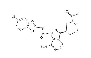 C=CC(=O)N1CCC[C@@H](n2nc(C(=O)Nc3nc4cc(Cl)ccc4o3)c3c(N)nccc32)C1